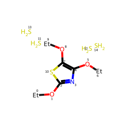 CCOc1nc(OCC)c(OCC)s1.S.S.S.S